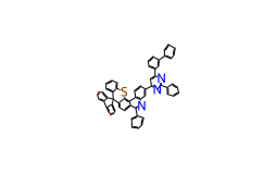 c1ccc(-c2cccc(-c3cc(-c4ccc5c(c4)nc(-c4ccccc4)c4ccc6c(c45)Sc4ccccc4C64c5ccccc5-c5ccccc54)nc(-c4ccccc4)n3)c2)cc1